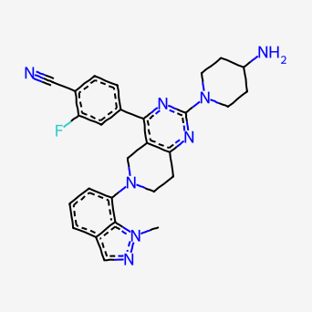 Cn1ncc2cccc(N3CCc4nc(N5CCC(N)CC5)nc(-c5ccc(C#N)c(F)c5)c4C3)c21